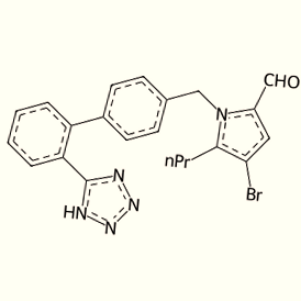 CCCc1c(Br)cc(C=O)n1Cc1ccc(-c2ccccc2-c2nnn[nH]2)cc1